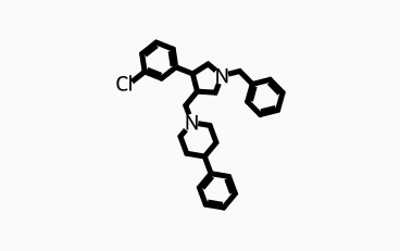 Clc1cccc(C2CN(Cc3ccccc3)CC2CN2CCC(c3ccccc3)CC2)c1